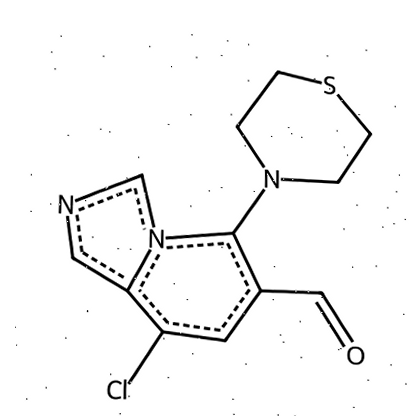 O=Cc1cc(Cl)c2cncn2c1N1CCSCC1